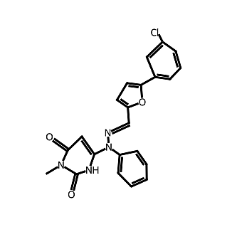 Cn1c(=O)cc(N(/N=C/c2ccc(-c3cccc(Cl)c3)o2)c2ccccc2)[nH]c1=O